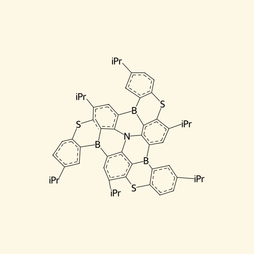 CC(C)c1ccc2c(c1)B1c3cc(C(C)C)c4c5c3N3c6c(cc(C(C)C)c(c61)S2)B1c2cc(C(C)C)ccc2Sc2c(C(C)C)cc(c3c21)B5c1cc(C(C)C)ccc1S4